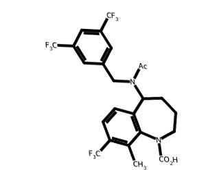 CC(=O)N(Cc1cc(C(F)(F)F)cc(C(F)(F)F)c1)C1CCCN(C(=O)O)c2c1ccc(C(F)(F)F)c2C